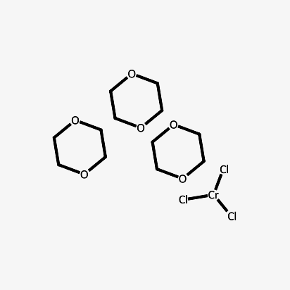 C1COCCO1.C1COCCO1.C1COCCO1.[Cl][Cr]([Cl])[Cl]